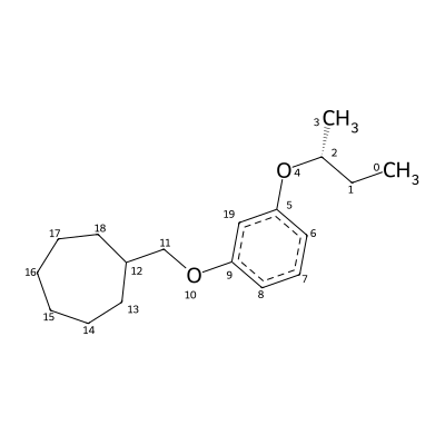 CC[C@@H](C)Oc1cccc(OCC2CCCCCC2)c1